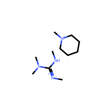 C/N=C(\NC)N(C)C.CN1CCCCC1